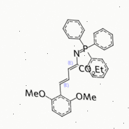 CCOC(=O)/C(=C\C=C\c1c(OC)cccc1OC)N=P(c1ccccc1)(c1ccccc1)c1ccccc1